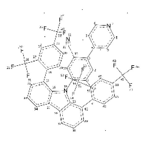 Cc1cc(-c2ccncc2)c(C#N)cc1-n1c2c(-c3ccc(C(F)(F)F)cc3C(F)(F)F)cccc2c2cccc(-c3ccc(C(F)(F)F)cc3C(F)(F)F)c21